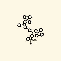 CC1(C)c2ccccc2-c2cc(N(c3ccc(-c4ccc5c(c4)c4cc(C6(c7ccccc7)c7ccccc7-c7ccccc76)ccc4n5-c4ccccc4)cc3)c3ccc4c(c3)C3(c5ccccc5-c5ccccc53)c3ccccc3-4)ccc21